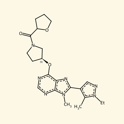 CCn1ncc(-c2nc3c(O[C@H]4CCN(C(=O)C5CCCO5)C4)ncnc3n2C)c1C